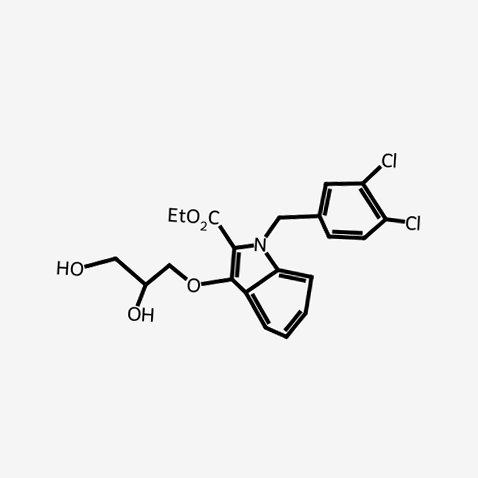 CCOC(=O)c1c(OCC(O)CO)c2ccccc2n1Cc1ccc(Cl)c(Cl)c1